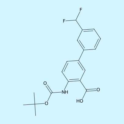 CC(C)(C)OC(=O)Nc1ccc(-c2cccc(C(F)F)c2)cc1C(=O)O